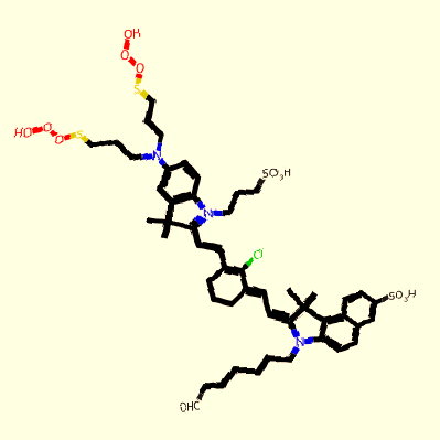 CC1(C)C(/C=C/C2=C(Cl)C(=C/C=C3/N(CCCCCCC=O)c4ccc5cc(S(=O)(=O)O)ccc5c4C3(C)C)/CCC2)=[N+](CCCS(=O)(=O)O)c2ccc(N(CCCSOOO)CCCSOOO)cc21